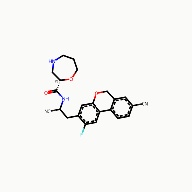 N#Cc1ccc2c(c1)COc1cc(CC(C#N)NC(=O)[C@@H]3CNCCCO3)c(F)cc1-2